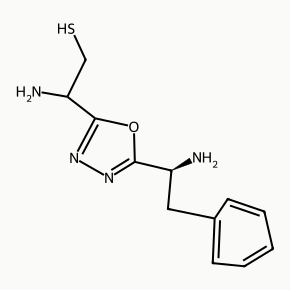 NC(CS)c1nnc([C@@H](N)Cc2ccccc2)o1